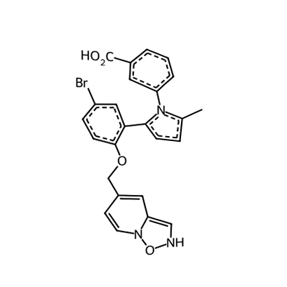 Cc1ccc(-c2cc(Br)ccc2OCC2=CC3=CNON3C=C2)n1-c1cccc(C(=O)O)c1